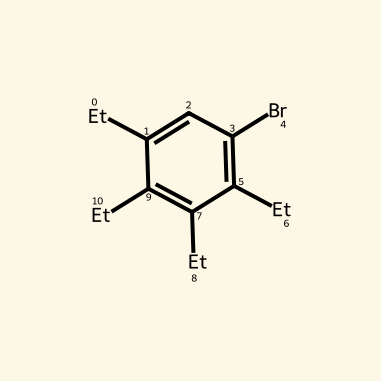 CCc1cc(Br)c(CC)c(CC)c1CC